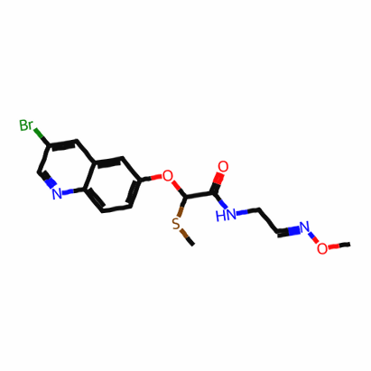 CON=CCNC(=O)C(Oc1ccc2ncc(Br)cc2c1)SC